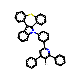 Cc1c(-c2ccccc2)cc(-c2cccc(-n3c4c(c5ccccc53)-c3ccccc3Sc3ccccc3-4)c2)nc1-c1ccccc1